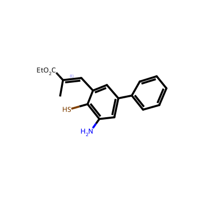 CCOC(=O)/C(C)=C/c1cc(-c2ccccc2)cc(N)c1S